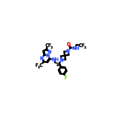 O=C(NCC(F)(F)F)N1CC2(C1)CN([C@@H](CNc1cc(C(F)(F)F)nc3cc(C(F)(F)F)nn13)c1ccc(F)cc1)C2